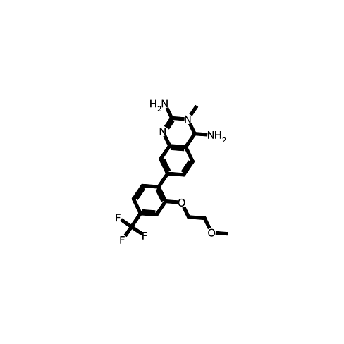 COCCOc1cc(C(F)(F)F)ccc1-c1ccc2c(c1)N=C(N)N(C)C2N